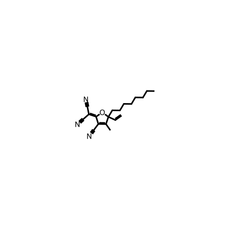 C=CC1(CCCCCCCC)OC(=C(C#N)C#N)C(C#N)=C1C